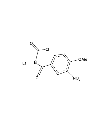 CCN(C(=O)Cl)C(=O)c1ccc(OC)c([N+](=O)[O-])c1